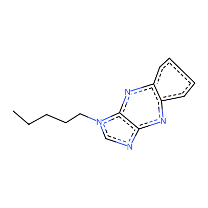 CCCCCn1cnc2nc3ccccc3nc21